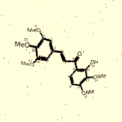 COc1cc(/C=C/C(=O)c2ccc(OC)c(OC)c2O)cc(OC)c1OC